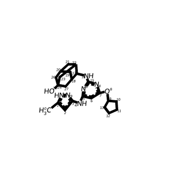 Cc1cc(Nc2cc(OC3CCCC3)nc(NC3C4CC5CC3CC(O)(C5)C4)n2)n[nH]1